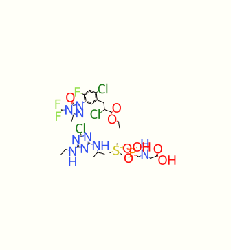 CCNc1nc(Cl)nc(NC(C)C)n1.CCOC(=O)C(Cl)Cc1cc(-n2nc(C)n(C(F)F)c2=O)c(F)cc1Cl.C[S+](C)C.O=C(O)CNCP(=O)([O-])O